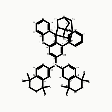 CC1(C)CCC(C)(C)c2cc(N(c3cc4c(c(-c5ccccc5)c3)C3(c5ccccc5S4)C4CC5CC6CC3C64C5)c3ccc4c(c3)C(C)(C)CCC4(C)C)ccc21